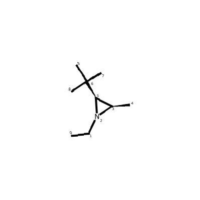 CCN1[C@H](C)[C@@H]1C(C)(C)C